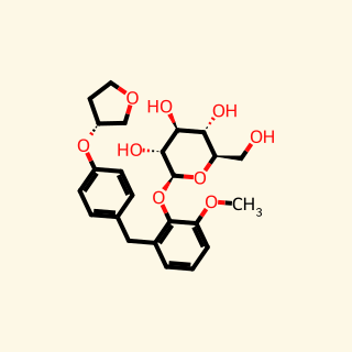 COc1cccc(Cc2ccc(O[C@@H]3CCOC3)cc2)c1O[C@@H]1O[C@H](CO)[C@@H](O)[C@H](O)[C@H]1O